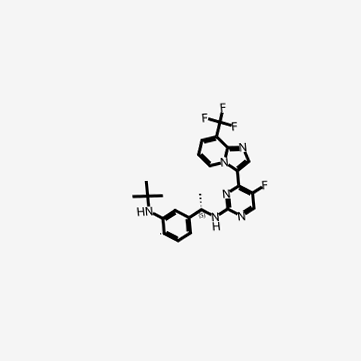 C[C@H](Nc1ncc(F)c(-c2cnc3c(C(F)(F)F)cccn23)n1)c1cc[c]c(NC(C)(C)C)c1